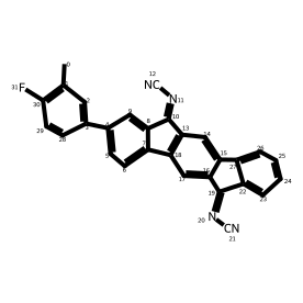 Cc1cc(-c2ccc3c(c2)/c(=N\C#N)c2cc4c(cc23)/c(=N/C#N)c2ccccc24)ccc1F